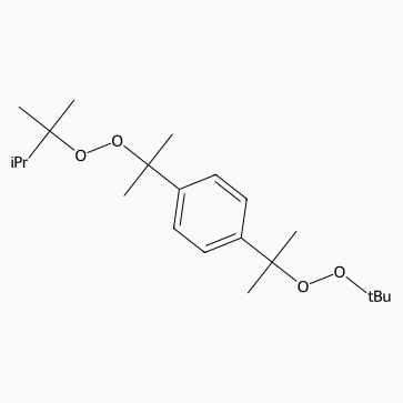 CC(C)C(C)(C)OOC(C)(C)c1ccc(C(C)(C)OOC(C)(C)C)cc1